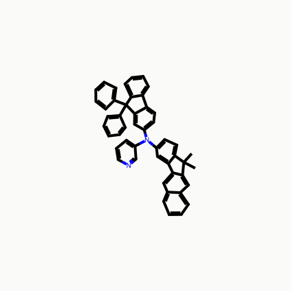 CC1(C)c2ccc(N(c3cccnc3)c3ccc4c(c3)C(c3ccccc3)(c3ccccc3)c3ccccc3-4)cc2-c2cc3ccccc3cc21